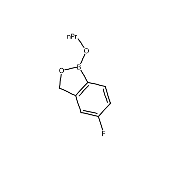 CCCOB1OCc2cc(F)ccc21